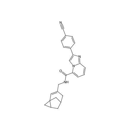 N#Cc1ccc(-c2cn3c(C(=O)NCC4=CC56CC(C4)CC5C6)cccc3n2)cc1